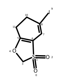 O=S1(=O)COC2=C1C=C(I)CC2